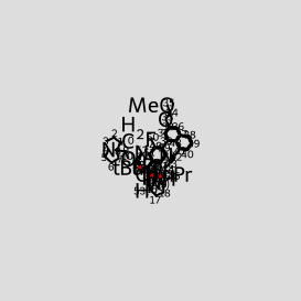 C=C1CCN2CCCC12COc1nc(N2C[C@H]3CC[C@@H](C2)N3C(=O)OC(C)(C)C)c2cnc(-c3cc(OCOC)cc4cccc(C#C[Si](C(C)C)(C(C)C)C(C)C)c34)c(F)c2n1